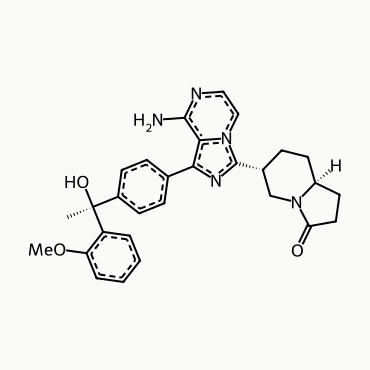 COc1ccccc1[C@@](C)(O)c1ccc(-c2nc([C@@H]3CC[C@H]4CCC(=O)N4C3)n3ccnc(N)c23)cc1